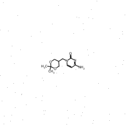 CC1(C)OCC(Cn2ccc(N)nc2=O)CO1